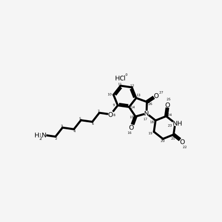 Cl.NCCCCCCOc1cccc2c1C(=O)N(C1CCC(=O)NC1=O)C2=O